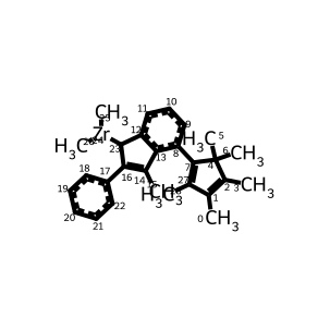 CC1=C(C)C(C)(C)C(c2cccc3c2C(C)=C(c2ccccc2)[CH]3[Zr]([CH3])[CH3])=C1C